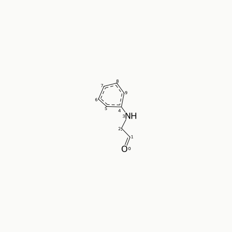 O=C[CH]Nc1ccccc1